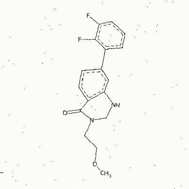 COCCN1CNc2cc(-c3cccc(F)c3F)ccc2C1=O